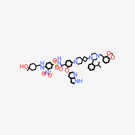 CC(C)c1ccccc1C1CN(Cc2cccc3c2OCO3)CCN1C1CC2(CCN(c3ccc(C(=O)NS(=O)(=O)c4ccc(NCC5CCC(C)(O)CC5)c([N+](=O)[O-])c4)c(Oc4cnc5[nH]ccc5c4)c3)CC2)C1